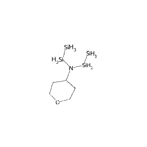 [SiH3][SiH2]N([SiH2][SiH3])C1CCOCC1